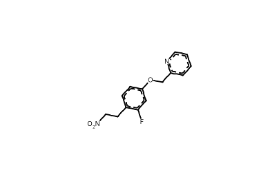 O=[N+]([O-])CCc1ccc(OCc2ccccn2)cc1F